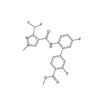 COC(=O)c1ccc(-c2cc(F)ccc2NC(=O)c2cn(C)nc2C(F)F)cc1F